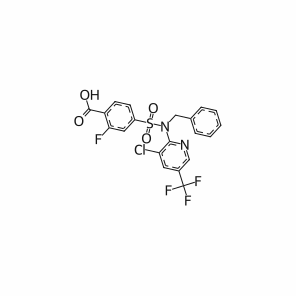 O=C(O)c1ccc(S(=O)(=O)N(Cc2ccccc2)c2ncc(C(F)(F)F)cc2Cl)cc1F